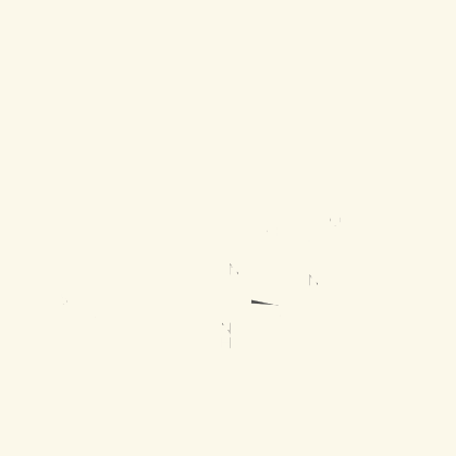 O=C(OCc1ccccc1)N1CCC[C@H]1c1nc2ccc(-c3cccs3)cc2[nH]1